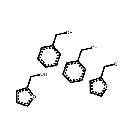 OCc1ccccc1.OCc1ccccc1.OCc1ccco1.OCc1ccco1